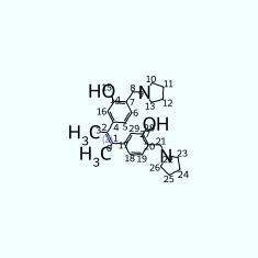 C/C(=C(\C)c1ccc(CN2CCCC2)c(O)c1)c1ccc(CN2CCCC2)c(O)c1